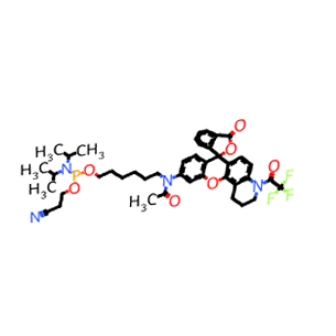 CC(=O)N(CCCCCCOP(OCCC#N)N(C(C)C)C(C)C)c1ccc2c(c1)Oc1c(ccc3c1CCCN3C(=O)C(F)(F)F)C21OC(=O)c2ccccc21